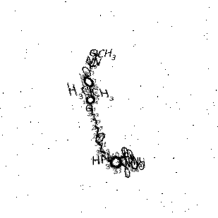 CC(=O)c1ncc(COc2ccc(C(C)(C)c3ccc(OCCCCCCCCOCCCCNc4ccc5c(c4)C(=O)N(C4CCC(=O)NC4=O)C5=O)cc3)cc2)cn1